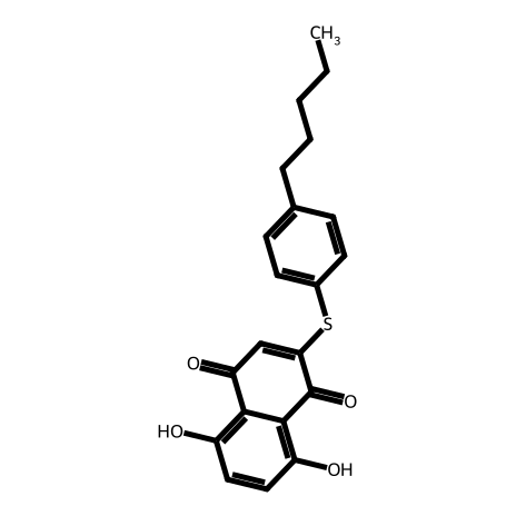 CCCCCc1ccc(SC2=CC(=O)c3c(O)ccc(O)c3C2=O)cc1